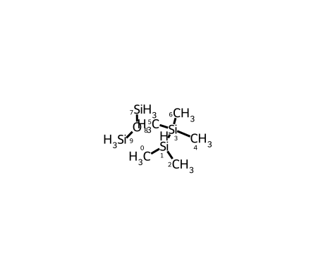 C[SiH](C)[Si](C)(C)C.[SiH3]O[SiH3]